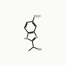 CC(O)c1nc2cc(C(=O)O)ccc2[nH]1